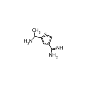 CC(N)c1cc(C(=N)N)cs1